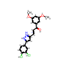 COc1cc(OC)cc(C(=O)/C=C/c2cc(-c3ccc(Cl)c(Cl)c3)n[nH]2)c1